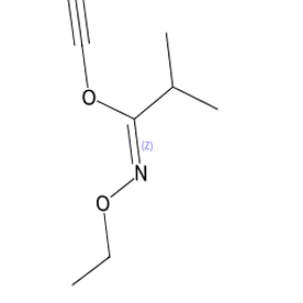 C#CO/C(=N\OCC)C(C)C